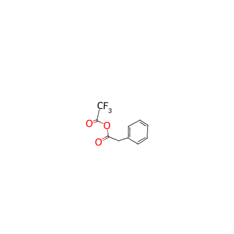 O=C(Cc1ccccc1)OC(=O)C(F)(F)F